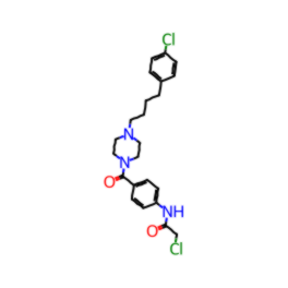 O=C(CCl)Nc1ccc(C(=O)N2CCN(CCCCc3ccc(Cl)cc3)CC2)cc1